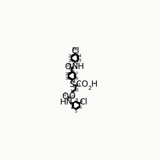 O=C(Nc1cccc(Cl)c1)OCCC(Sc1ccc(C(=O)Nc2ccc(Cl)cc2)cc1)C(=O)O